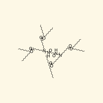 CCCCCCCCC(CCCCCCCC)OC(=O)CCCCCCCN(CCCCCCC(C)(C)C(=O)OC(CCCCCCCC)CCCCCCCC)C(C)CNC(=O)CCC(=O)NCC(C)N(CCCCCCC(C)(C)C(=O)OC(CCCCCCCC)CCCCCCCC)CCCCCCC(C)(C)C(=O)OC(CCCCCCCC)CCCCCCCC